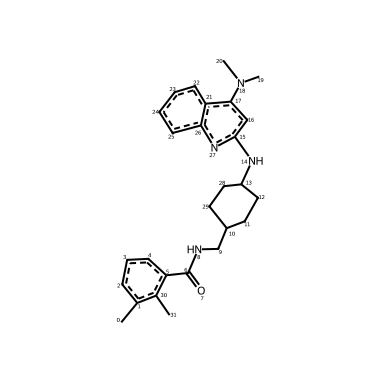 Cc1cccc(C(=O)NCC2CCC(Nc3cc(N(C)C)c4ccccc4n3)CC2)c1C